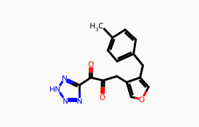 Cc1ccc(Cc2cocc2CC(=O)C(=O)c2nn[nH]n2)cc1